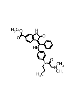 CCCN(C(=O)CN(C)C)c1ccc(N/C(=C2/C(=O)Nc3cc(C(=O)OC)ccc32)c2ccccc2)cc1